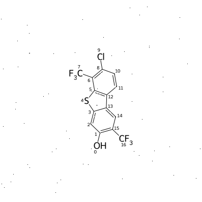 Oc1cc2sc3c(C(F)(F)F)c(Cl)ccc3c2cc1C(F)(F)F